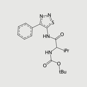 CC(C)C(NC(=O)OC(C)(C)C)C(=O)Nc1snnc1-c1ccccc1